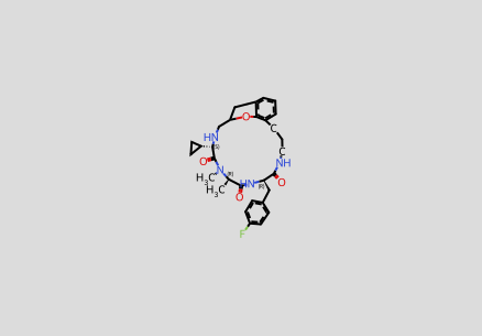 C[C@@H]1C(=O)N[C@H](Cc2ccc(F)cc2)C(=O)NCCCc2cccc3c2OC(CN[C@@H](C2CC2)C(=O)N1C)C3